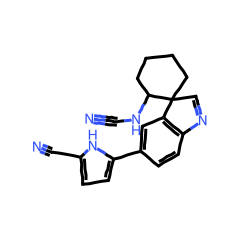 N#CNC1CCCCC12C=Nc1ccc(-c3ccc(C#N)[nH]3)cc12